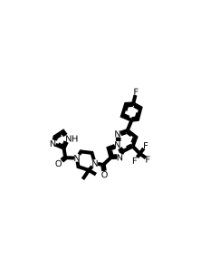 CC1(C)CN(C(=O)c2ncc[nH]2)CCN1C(=O)c1cn2nc(-c3ccc(F)cc3)cc(C(F)(F)F)c2n1